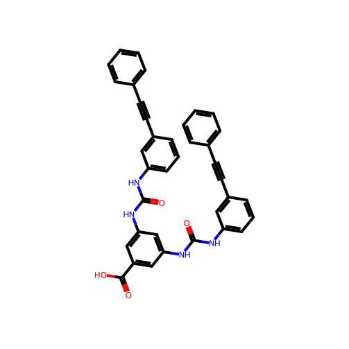 O=C(Nc1cccc(C#Cc2ccccc2)c1)Nc1cc(NC(=O)Nc2cccc(C#Cc3ccccc3)c2)cc(C(=O)O)c1